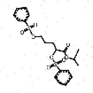 CC(C)OC(=O)C(CCCOS(=O)(=O)c1ccccc1)OS(=O)(=O)c1ccccc1